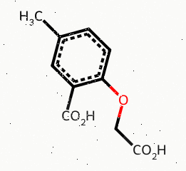 Cc1ccc(OCC(=O)O)c(C(=O)O)c1